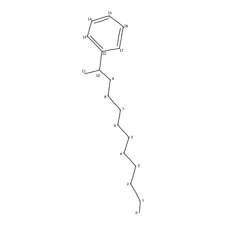 CCCCCCCCCCC(C)c1cc[c]cc1